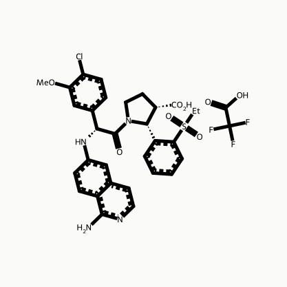 CCS(=O)(=O)c1ccccc1[C@H]1[C@@H](C(=O)O)CCN1C(=O)[C@H](Nc1ccc2c(N)nccc2c1)c1ccc(Cl)c(OC)c1.O=C(O)C(F)(F)F